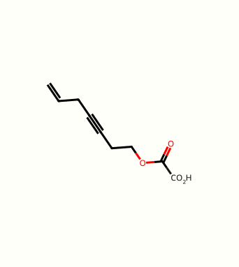 C=CCC#CCCOC(=O)C(=O)O